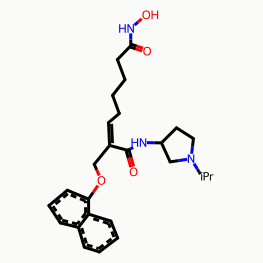 CC(C)N1CCC(NC(=O)C(=CCCCCC(=O)NO)COc2cccc3ccccc23)C1